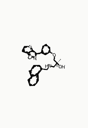 C[C@](O)(CNCc1cccc2ccccc12)COc1cccc(-c2noc3ccsc23)c1